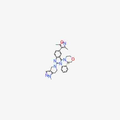 Cc1noc(C)c1-c1ccc2nc(N3CCc4c(cnn4C)C3)nc(N3CCOC[C@@H]3c3ccccc3)c2c1